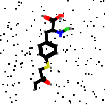 CCC(=O)CSc1ccc(CC(NCl)C(=O)O)cc1